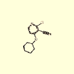 N#Cc1c(OC2CCCCC2)ccnc1Cl